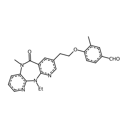 CCN1c2ncc(CCOc3ccc(C=O)cc3C)cc2C(=O)N(C)c2cccnc21